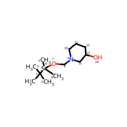 CC(C)(C)[Si](C)(C)OCN1CCCC(O)C1